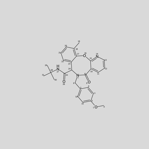 COc1ccc(CN2C(=O)c3cccnc3Oc3c(C)cccc3C2C(=O)NC(C)(C)C)cc1